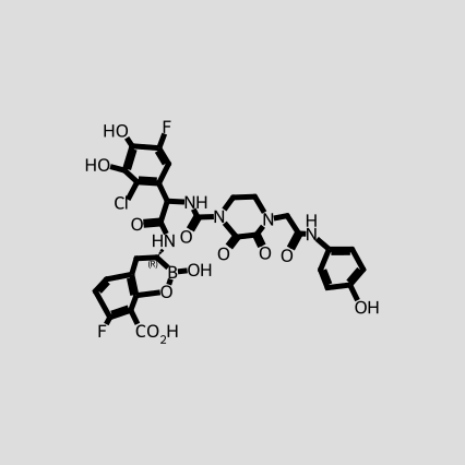 O=C(CN1CCN(C(=O)NC(C(=O)N[C@H]2Cc3ccc(F)c(C(=O)O)c3OB2O)c2cc(F)c(O)c(O)c2Cl)C(=O)C1=O)Nc1ccc(O)cc1